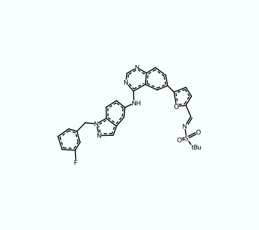 CC(C)(C)S(=O)(=O)N=Cc1ccc(-c2ccc3ncnc(Nc4ccc5c(cnn5Cc5cccc(F)c5)c4)c3c2)o1